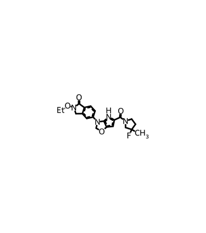 CCON1Cc2cc(N3COc4cc(C(=O)N5CCC(C)(F)C5)[nH]c43)ccc2C1=O